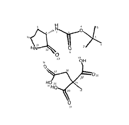 CC(C)(C)OC(=O)N[C@H]1CCNC1=O.CC(CC(=O)O)(C(=O)O)C(=O)O